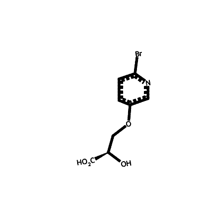 O=C(O)[C@H](O)COc1ccc(Br)nc1